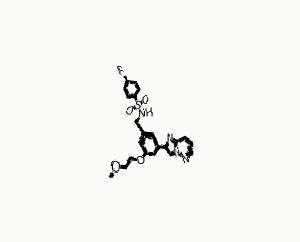 COCCOc1cc(CNS(=O)(=O)c2ccc(F)cc2)cc(-c2cn3ncccc3n2)c1